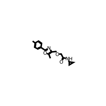 Cc1ccc(-c2nc(COCC(=O)NC3CC3)c(C)o2)cc1